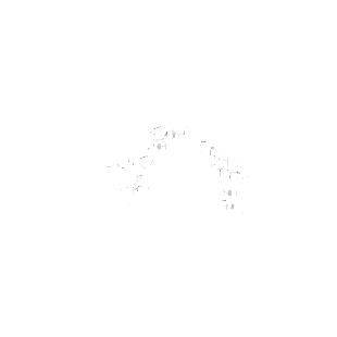 CCCN(CCC)C(=O)C1=Cc2ccc(C(=O)Nc3cc(CNC(=O)OCc4ccc(NC(=O)[C@H](CCCNC(N)=O)NC(=O)[C@@H](N)C(C)C)cc4)ccn3)cc2N=C(N)C1